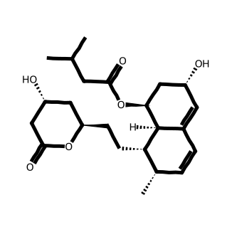 CC(C)CC(=O)O[C@H]1C[C@H](O)C=C2C=C[C@H](C)[C@H](CC[C@@H]3C[C@@H](O)CC(=O)O3)[C@H]21